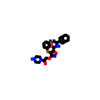 CC(NC(=O)c1onc(OCC(=O)N2CCNCC2)c1Sc1ccccc1)C1CC2CCCC(C2)C1